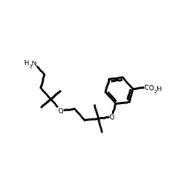 CC(C)(CCN)OCCC(C)(C)Oc1cccc(C(=O)O)c1